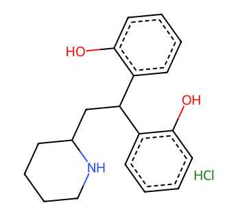 Cl.Oc1ccccc1C(CC1CCCCN1)c1ccccc1O